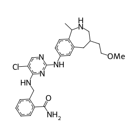 COCCC1CNC(C)c2ccc(Nc3ncc(Cl)c(NCc4ccccc4C(N)=O)n3)cc2C1